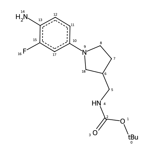 CC(C)(C)OC(=O)NCC1CCN(c2ccc(N)c(F)c2)C1